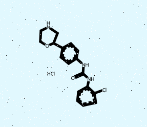 Cl.O=C(Nc1ccc(C2CNCCO2)cc1)Nc1ccccc1Cl